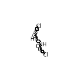 O=C(CN[C@H]1CC[C@H](NC(=O)COc2ccc(Cl)cc2)CC1)COc1ccc(Cl)cc1